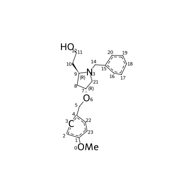 COc1ccc(CO[C@@H]2C[C@@H](CCO)N(Cc3ccccc3)C2)cc1